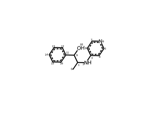 CC(Nc1ccncc1)C(O)c1ccccc1